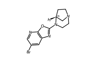 Brc1cnc2oc(N3CCN4CC[C@@H]3C4)nc2c1